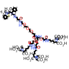 Cc1ccccc1C(=C\C=N\CCC(=O)NCCOCCOCCOCCC(=O)NC(COCCC(=O)NCCCCC(C(=O)O)N(CC(=O)O)CC(=O)O)(COCCC(=O)NCCCCC(C(=O)O)N(CC(=O)O)CC(=O)O)COCCC(=O)NCCCCC(C(=O)O)N(CC(=O)O)CC(=O)O)/C=C1\Sc2ccccc2N1C